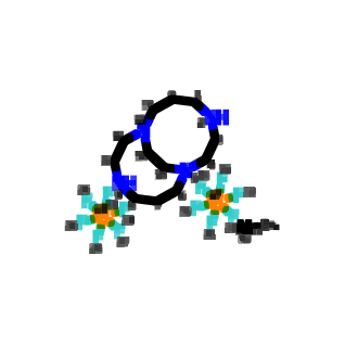 C1CNCCN2CCCNCCN(C1)CC2.F[P-](F)(F)(F)(F)F.F[P-](F)(F)(F)(F)F.[Mn+2]